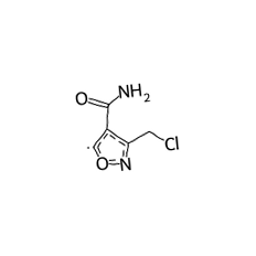 NC(=O)c1[c]onc1CCl